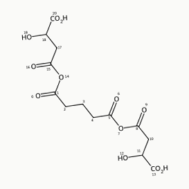 O=C(CCCC(=O)OC(=O)CC(O)C(=O)O)OC(=O)CC(O)C(=O)O